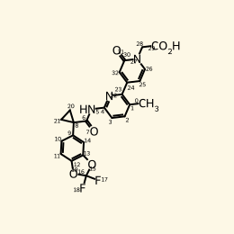 Cc1ccc(NC(=O)C2(c3ccc4c(c3)OC(F)(F)O4)CC2)nc1-c1ccn(CC(=O)O)c(=O)c1